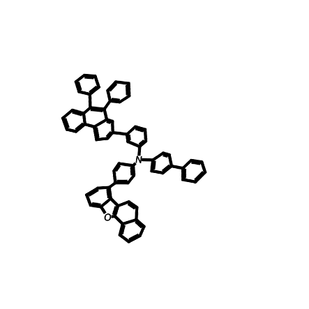 c1ccc(-c2ccc(N(c3ccc(-c4cccc5oc6c7ccccc7ccc6c45)cc3)c3cccc(-c4ccc5c(c4)c(-c4ccccc4)c(-c4ccccc4)c4ccccc45)c3)cc2)cc1